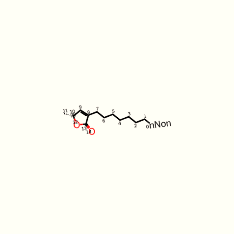 CCCCCCCCCCCCCCCCC1=C[C@@H](C)OC1=O